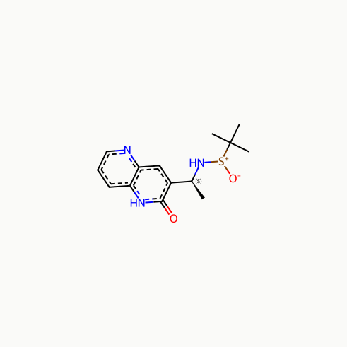 C[C@H](N[S+]([O-])C(C)(C)C)c1cc2ncccc2[nH]c1=O